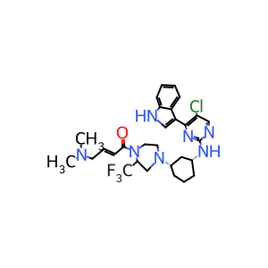 CN(C)C/C=C/C(=O)N1CCN([C@H]2CCC[C@@H](Nc3ncc(Cl)c(-c4c[nH]c5ccccc45)n3)C2)CC1C(F)(F)F